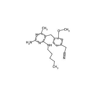 CCCCCNc1nc(N)nc(C)c1Cc1ccc(CC#N)cc1OC